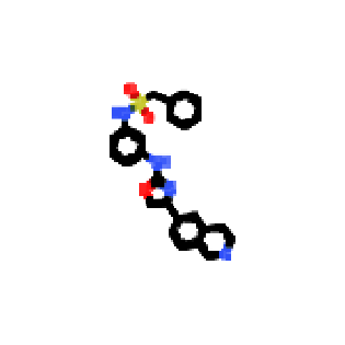 O=S(=O)(Cc1ccccc1)Nc1cccc(Nc2nc(-c3ccc4cnccc4c3)co2)c1